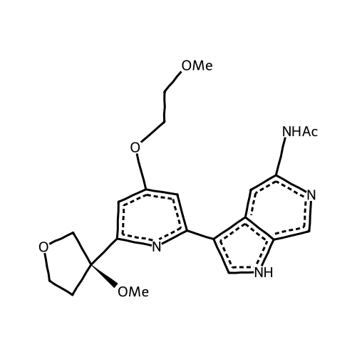 COCCOc1cc(-c2c[nH]c3cnc(NC(C)=O)cc23)nc([C@]2(OC)CCOC2)c1